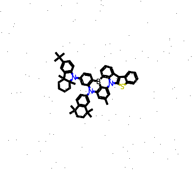 Cc1cc2c3c(c1)-n1c4sc5ccccc5c4c4cccc(c41)B3c1ccc(N3c4ccc(C(C)(C)C)cc4C4(C)CCCCC34C)cc1N2c1ccc2c(c1)C(C)(C)CCC2(C)C